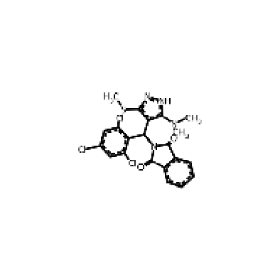 CSc1n[nH]c(N(C)C)c1C(c1c(Cl)cc(Cl)cc1Cl)N1C(=O)c2ccccc2C1=O